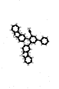 N#Cc1cc(-c2ccccc2)cc(-c2ccc3sc4ccccc4c3c2)c1-c1ccc2oc3ccccc3c2c1